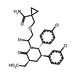 CCC(COCC1(C(N)=O)CC1)N1C(=O)[C@H](CC(=O)O)C[C@H](c2cccc(Cl)c2)[C@H]1c1ccc(Cl)cc1